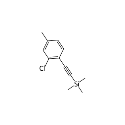 Cc1ccc(C#C[Si](C)(C)C)c(Cl)c1